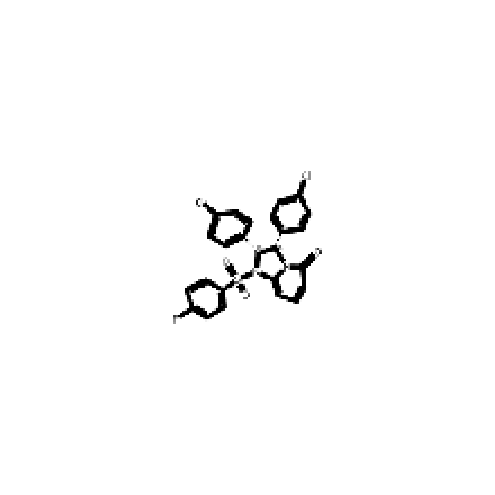 O=c1cccc2n1[C@@H](c1ccc(Cl)cc1)[C@@H](c1ccc(Cl)cc1)N2S(=O)(=O)c1ccc(F)cc1